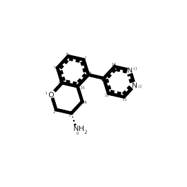 N[C@@H]1COc2cccc(-c3ccnnc3)c2C1